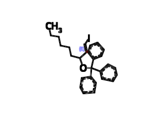 CCCCCCC(/C=C/I)OC(c1ccccc1)(c1ccccc1)c1ccccc1